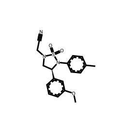 COc1cccc([C@H]2CN(CC#N)S(=O)(=O)N2c2ccc(C)cc2)c1